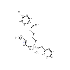 CCN(CCCCCC(=O)c1ccc(F)cc1)Cc1ccccc1.O=C(O)/C=C/C(=O)O